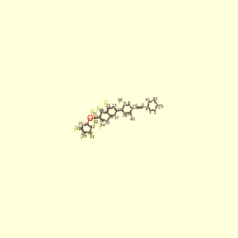 Cc1ccc(C#Cc2cc(F)c(-c3cc(F)c4c(F)c(C(F)(F)Oc5cc(F)c(F)c(F)c5)c(F)cc4c3)cc2C)cc1